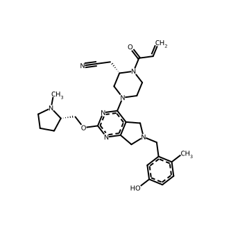 C=CC(=O)N1CCN(c2nc(OC[C@@H]3CCCN3C)nc3c2CN(Cc2cc(O)ccc2C)C3)C[C@@H]1CC#N